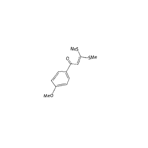 COc1ccc(C(=O)C=C(SC)SC)cc1